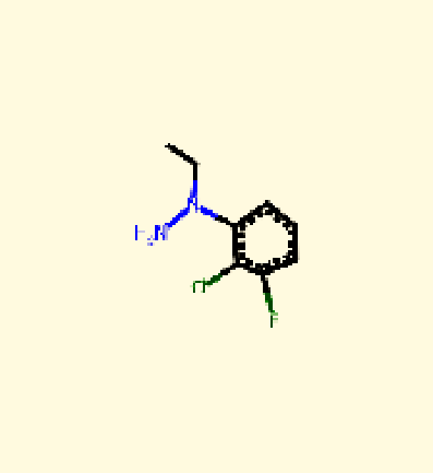 CCN(N)c1cccc(F)c1Cl